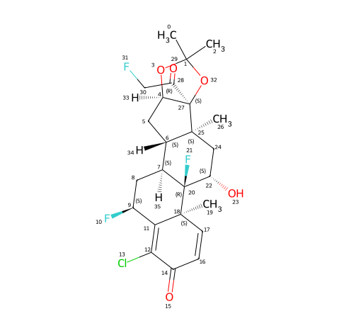 CC1(C)O[C@@H]2C[C@H]3[C@@H]4C[C@H](F)C5=C(Cl)C(=O)C=C[C@]5(C)[C@@]4(F)[C@@H](O)C[C@]3(C)[C@]2(C(=O)CF)O1